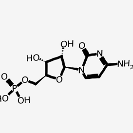 Nc1ccn([C@H]2O[C@@H](COP(=O)(O)O)[C@H](O)[C@@H]2O)c(=O)n1